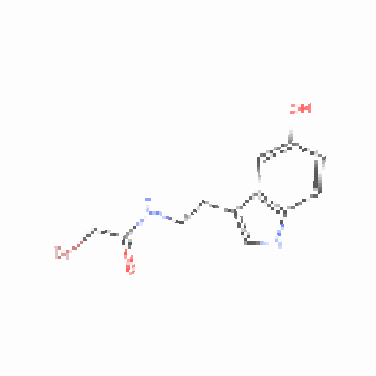 O=C(CBr)NCCc1c[nH]c2ccc(O)cc12